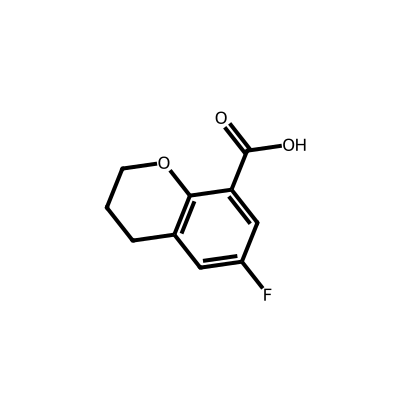 O=C(O)c1cc(F)cc2c1OCCC2